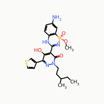 CCC(C)CCn1nc(-c2ccsc2)c(O)c(C2=NP(=O)(OC)c3cc(N)ccc3N2)c1=O